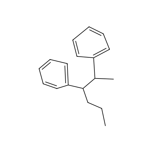 CCCC(c1ccccc1)C(C)c1ccccc1